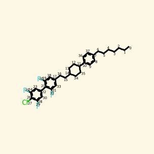 CCCCCCCc1ccc(C2CCC(CCc3cc(F)c(-c4cc(F)c(Cl)c(F)c4)c(F)c3)CC2)cc1